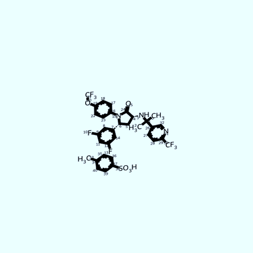 CC(C)(N[C@@H]1C[C@H](c2cc(F)cc(F)c2)N(c2ccc(OC(F)(F)F)cc2)C1=O)c1ccc(C(F)(F)F)nc1.Cc1ccc(S(=O)(=O)O)cc1